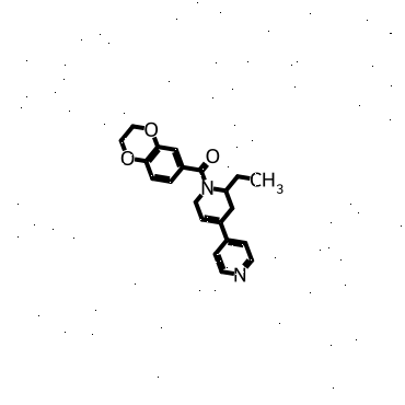 CCC1CC(c2ccncc2)=CCN1C(=O)c1ccc2c(c1)OCCO2